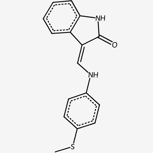 CSc1ccc(NC=C2C(=O)Nc3ccccc32)cc1